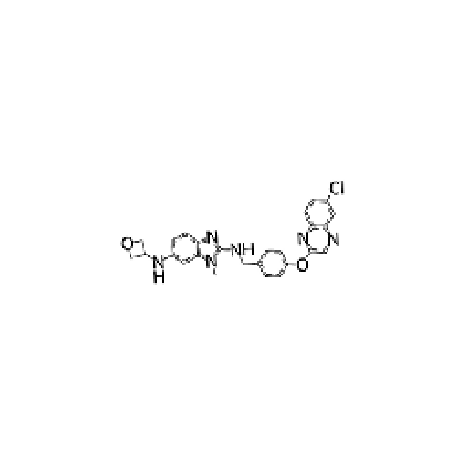 Cn1c(NCc2ccc(Oc3cnc4cc(Cl)ccc4n3)cc2)nc2ccc(NC3COC3)cc21